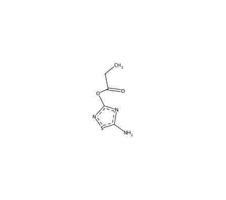 CCC(=O)Oc1nsc(N)n1